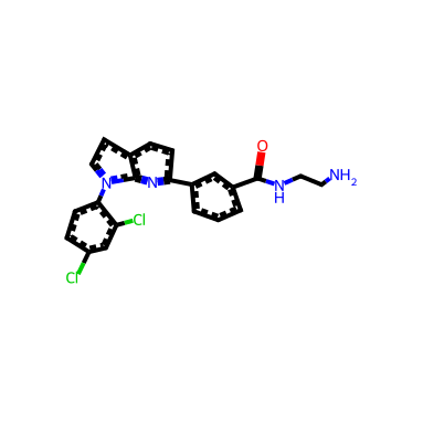 NCCNC(=O)c1cccc(-c2ccc3ccn(-c4ccc(Cl)cc4Cl)c3n2)c1